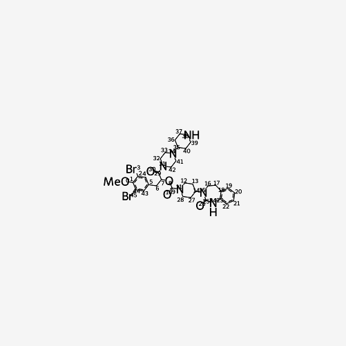 COc1c(Br)cc(CC(OC(=O)N2CCC(N3CCc4ccccc4NC3=O)CC2)C(=O)N2CCN(C3CCNCC3)CC2)cc1Br